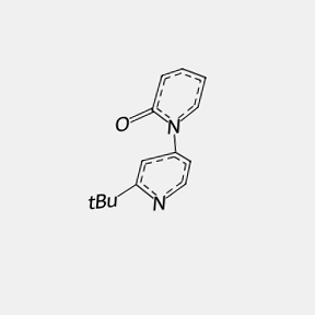 CC(C)(C)c1cc(-n2ccccc2=O)ccn1